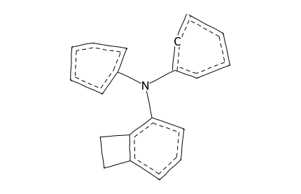 c1ccc(N(c2ccccc2)c2cccc3c2CC3)cc1